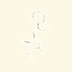 CC(C)N1C(=O)/C(=C/c2c[nH]c3cccnc23)SC1=S